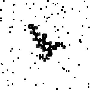 COc1cc2c(cc1OC)C(=O)C(C/C=C/C=O)C2